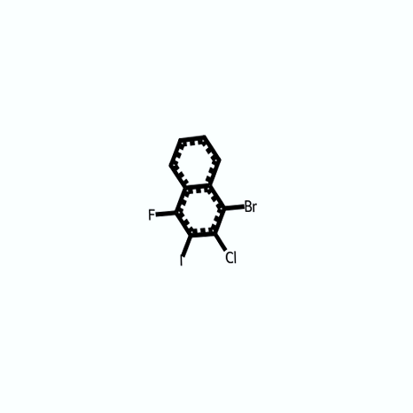 Fc1c(I)c(Cl)c(Br)c2ccccc12